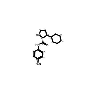 N#Cc1ccc(NC(=O)[C@H]2NCCC2C2CCCCC2)cc1